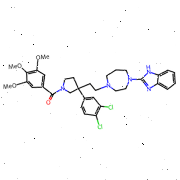 COc1cc(C(=O)N2CCC(CCN3CCCN(c4nc5ccccc5[nH]4)CC3)(c3ccc(Cl)c(Cl)c3)C2)cc(OC)c1OC